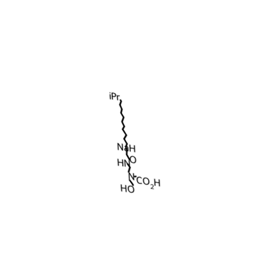 CC(C)CCCCCCCCCCCCCCC(=O)NCCN(CCO)CC(=O)O.[NaH]